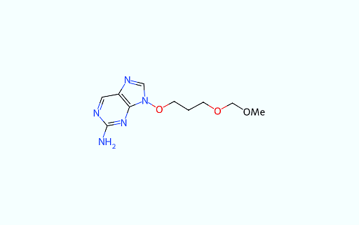 COCOCCCOn1cnc2cnc(N)nc21